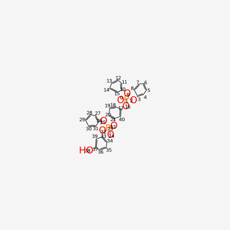 O=P(Oc1ccccc1)(Oc1ccccc1)Oc1cccc(OP(=O)(Oc2ccccc2)Oc2cccc(O)c2)c1